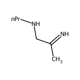 CCCNCC(C)=N